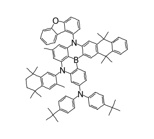 Cc1cc2c3c(c1)N(c1cccc4oc5ccccc5c14)c1cc4c(cc1B3c1ccc(N(c3ccc(C(C)(C)C)cc3)c3ccc(C(C)(C)C)cc3)cc1N2c1cc2c(cc1C)C(C)(C)CCC2(C)C)C(C)(C)c1ccccc1C4(C)C